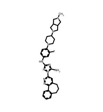 CN1CC2CN(C3CCN(c4ccc(Nc5nc(N)n(-c6cc7c(nn6)-c6ccccc6CCC7)n5)cc4F)CC3)CC2C1